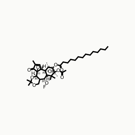 CCCCCCCCCCCCCC(=O)O[C@@H]1[C@@H](C)[C@]2(O)[C@@H]3C=C(C)C(=O)[C@@]3(O)[C@@H]3OC(C)(C)OCC3[C@@H](OF)[C@H]2C(C)(C)[C@]1(C)OC(C)=O